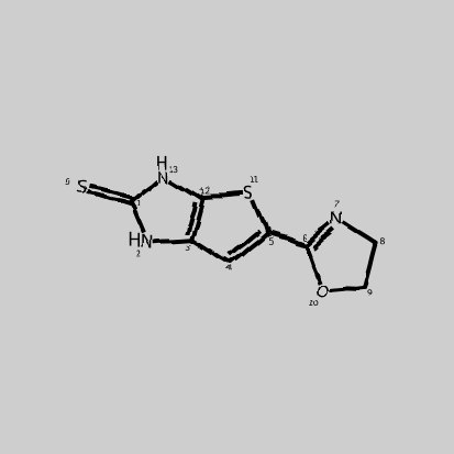 S=c1[nH]c2cc(C3=NCCO3)sc2[nH]1